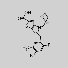 Cc1cc(Cc2nc3sc(C(=O)O)cc3n2C[C@@H]2CCO2)c(F)cc1Br